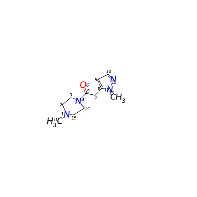 CN1CCN(C(=O)Cc2ccnn2C)CC1